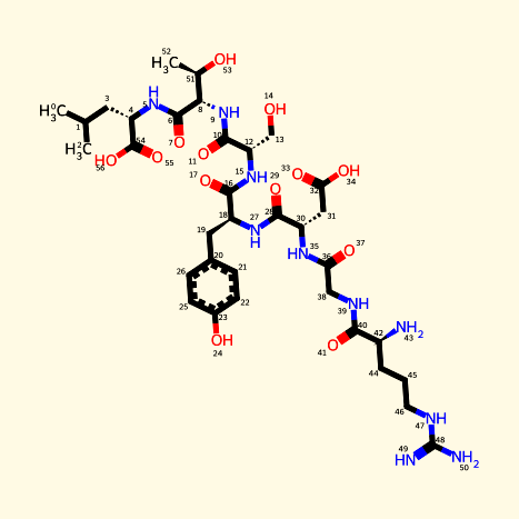 CC(C)C[C@H](NC(=O)[C@@H](NC(=O)[C@H](CO)NC(=O)[C@H](Cc1ccc(O)cc1)NC(=O)[C@H](CC(=O)O)NC(=O)CNC(=O)[C@@H](N)CCCNC(=N)N)[C@@H](C)O)C(=O)O